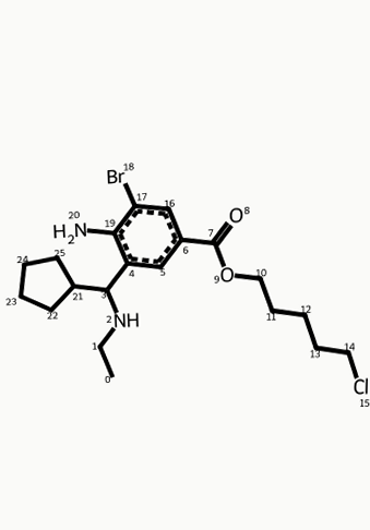 CCNC(c1cc(C(=O)OCCCCCCl)cc(Br)c1N)C1CCCC1